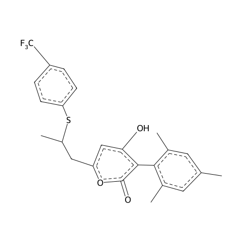 Cc1cc(C)c(-c2c(O)cc(CC(C)Sc3ccc(C(F)(F)F)cc3)oc2=O)c(C)c1